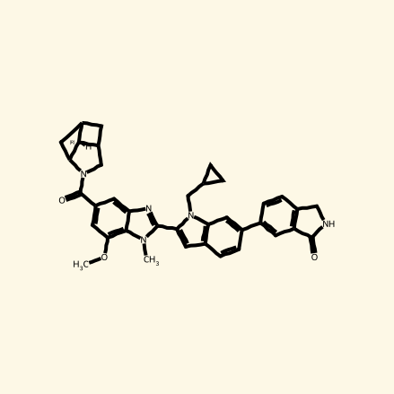 COc1cc(C(=O)N2CC3CC4CC2[C@H]43)cc2nc(-c3cc4ccc(-c5ccc6c(c5)C(=O)NC6)cc4n3CC3CC3)n(C)c12